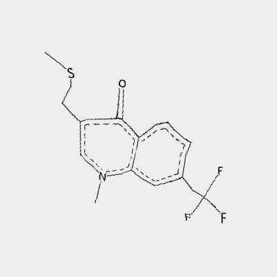 CSCc1cn(C)c2cc(C(F)(F)F)ccc2c1=O